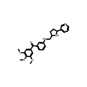 COc1cc(C(=O)c2cccc(NCC3CCC(c4cccnc4)N3)c2)cc(OC)c1OC